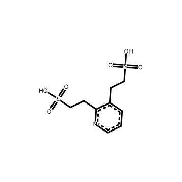 O=S(=O)(O)CCc1cccnc1CCS(=O)(=O)O